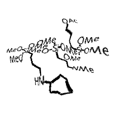 CNCCC[Si](OC)(OC)OC.CO[Si](CCCNc1ccccc1)(OC)OC.CO[Si](CCCOC(C)=O)(OC)OC